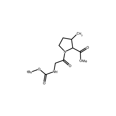 COC(=O)C1C(C)CCN1C(=O)CNC(=O)OC(C)(C)C